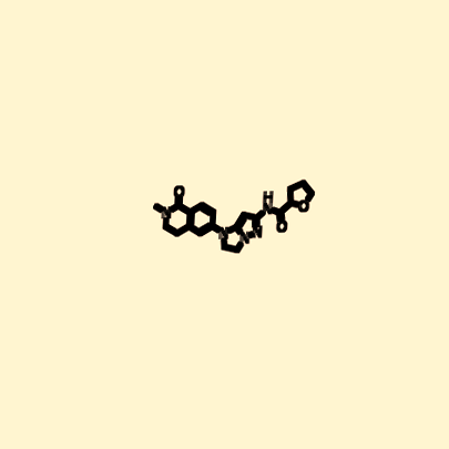 CN1CCc2cc(N3CCn4nc(NC(=O)C5CCCO5)cc43)ccc2C1=O